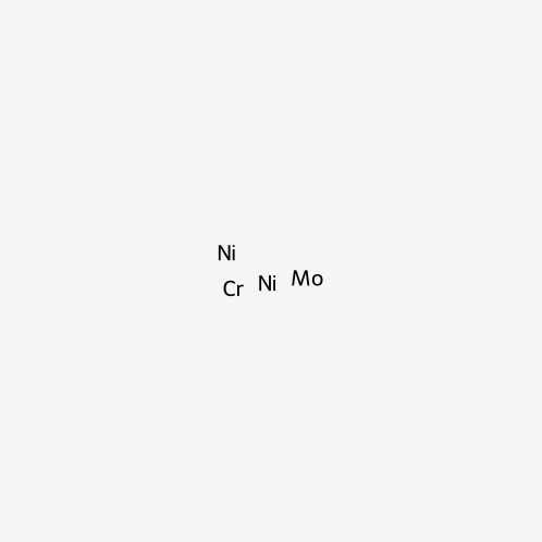 [Cr].[Mo].[Ni].[Ni]